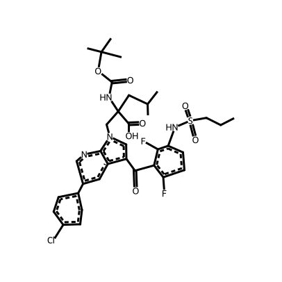 CCCS(=O)(=O)Nc1ccc(F)c(C(=O)c2cn(CC(CC(C)C)(NC(=O)OC(C)(C)C)C(=O)O)c3ncc(-c4ccc(Cl)cc4)cc23)c1F